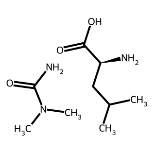 CC(C)C[C@H](N)C(=O)O.CN(C)C(N)=O